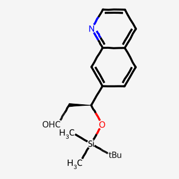 CC(C)(C)[Si](C)(C)O[C@@H](CC=O)c1ccc2cccnc2c1